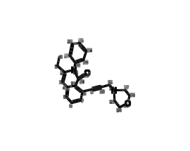 CCc1cc2cccc(C#CCN3CCOCC3)c2c(=O)n1-c1ccccc1